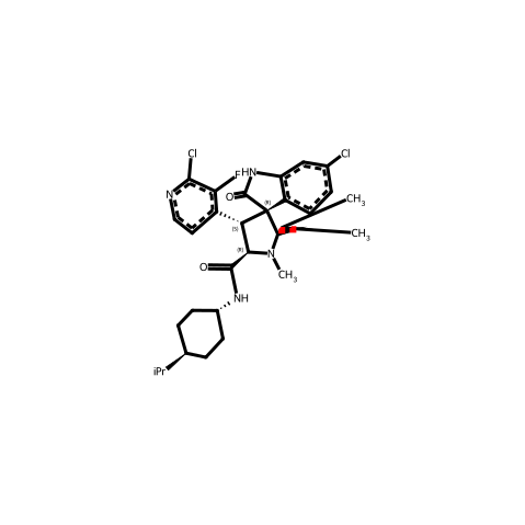 CC(C)[C@H]1CC[C@H](NC(=O)[C@H]2[C@H](c3ccnc(Cl)c3F)[C@]3(C(=O)Nc4cc(Cl)ccc43)C3(CCC(C)(C)CC3)N2C)CC1